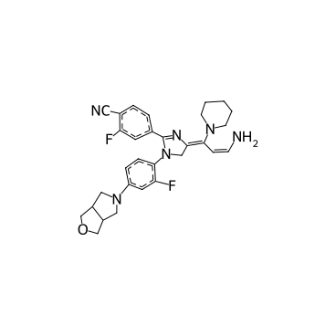 N#Cc1ccc(C2=N/C(=C(/C=C\N)N3CCCCC3)CN2c2ccc(N3CC4COCC4C3)cc2F)cc1F